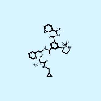 CC(NC(=O)c1cc(C(=O)N[C@H](CN[C@@H](C)C(=O)NCC2CC2)Cc2ccccc2)cc(N2CCCNS2(=O)=O)c1)c1cccnc1